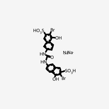 O=C(Nc1ccc2c(O)c(Br)c(S(=O)(=O)O)cc2c1)Nc1ccc2c(O)c(Br)c(S(=O)(=O)O)cc2c1.[Na].[Na]